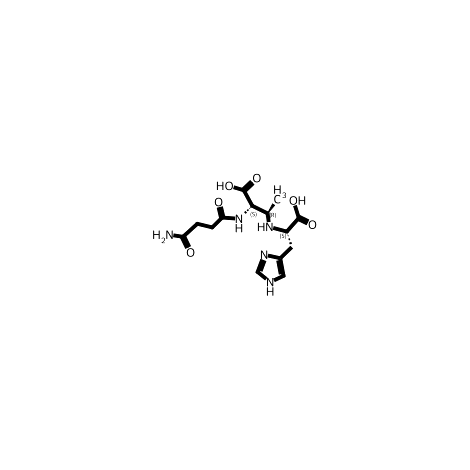 C[C@@H](N[C@@H](Cc1c[nH]cn1)C(=O)O)[C@H](NC(=O)CCC(N)=O)C(=O)O